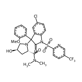 COc1ccccc1C1(N2C[C@H](O)C[C@H]2C(=O)N(C)C)C(=O)N(S(=O)(=O)c2ccc(C(F)(F)F)cn2)c2ccc(Cl)cc21